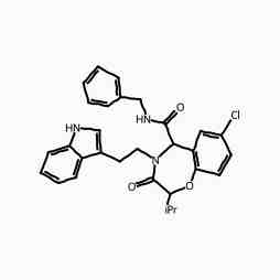 CC(C)C1Oc2ccc(Cl)cc2C(C(=O)NCc2ccccc2)N(CCc2c[nH]c3ccccc23)C1=O